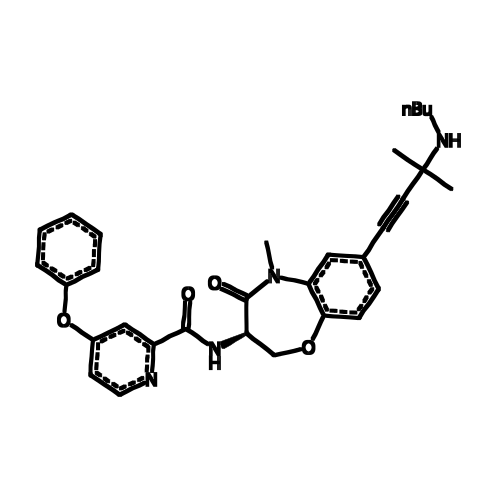 CCCCNC(C)(C)C#Cc1ccc2c(c1)N(C)C(=O)[C@H](NC(=O)c1cc(Oc3ccccc3)ccn1)CO2